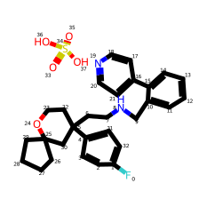 Fc1ccc(C2(CCNCc3ccccc3-c3ccncc3)CCOC3(CCCC3)C2)cc1.O=S(=O)(O)O